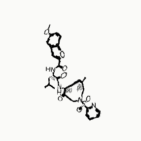 COc1ccc2oc(C(=O)N[C@@H](CC(C)C)C(=O)N[C@@H]3C[C@@H](C)CN(S(=O)(=O)c4ccccn4)CC3=O)cc2c1